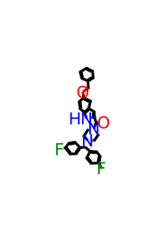 O=C(c1cc2cc(OCc3ccccc3)ccc2[nH]1)N1CCN(C(c2ccc(F)cc2)c2ccc(F)cc2)CC1